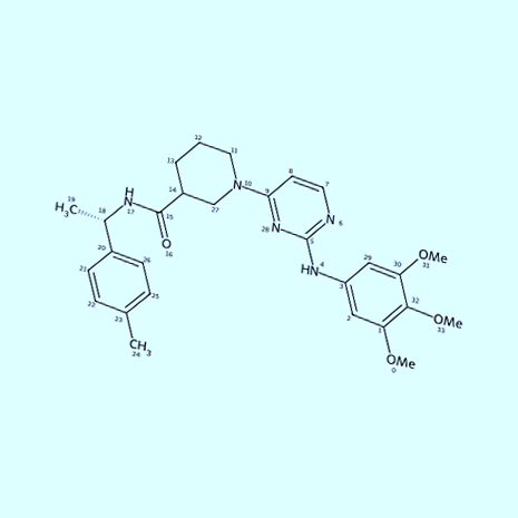 COc1cc(Nc2nccc(N3CCCC(C(=O)N[C@@H](C)c4ccc(C)cc4)C3)n2)cc(OC)c1OC